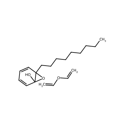 C=COC=C.CCCCCCCCCC12C=CC=CC1(O)O2